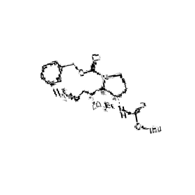 C=CC[C@@H](C(=O)OCC)[C@@H]1[C@@H](NC(=O)OC(C)(C)C)CCN1C(=O)OCc1ccccc1